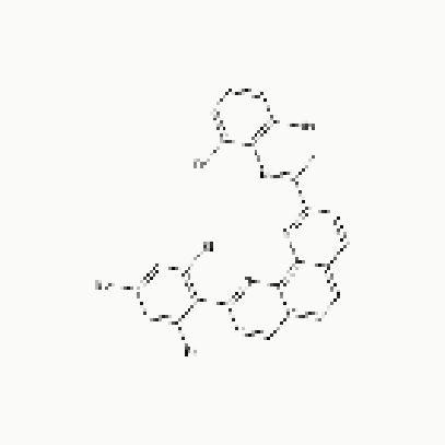 CCc1cc(CC)c(-c2ccc3ccc4ccc(C(C)=Nc5c(C(C)C)cccc5C(C)C)nc4c3n2)c(CC)c1